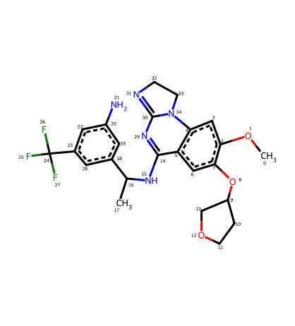 COc1cc2c(cc1OC1CCOC1)C(NC(C)c1cc(N)cc(C(F)(F)F)c1)=NC1=NCCN12